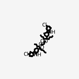 CCCCC(CCCC)(OC(=O)CC(=O)OC(CCCC)(CCCC)C1CCc2c([nH]c3ccc(Cl)cc23)C1)C1CCc2c([nH]c3ccc(Cl)cc23)C1